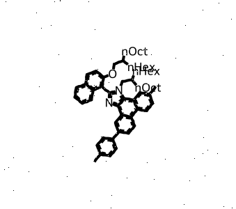 CCCCCCCCC(CCCCCC)COc1ccc2ccccc2c1-c1nc2c3cc(-c4ccc(C)cc4)ccc3c3ccc(C)cc3c2n1CC(CCCCCC)CCCCCCCC